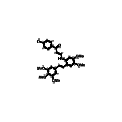 COc1cc(C=Cc2cc(OC)c(OC)c(OC)c2)c(NC=CC(=O)c2ccc(Cl)cc2)cc1OC